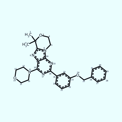 CC1(C)OCCn2c1nc1c(N3CCOCC3)nc(-c3cccc(OCc4ccccc4)c3)nc12